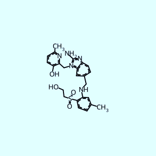 Cc1ccc(S(=O)(=O)CCO)c(NCc2ccc3nc(N)n(Cc4nc(C)ccc4O)c3c2)c1